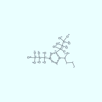 CCCC([O])c1ccc(C(Cl)(Cl)C(Cl)(Cl)C(Cl)(Cl)Cl)cc1C(Cl)(Cl)C(Cl)(Cl)C(Cl)(Cl)Cl